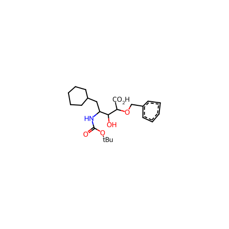 CC(C)(C)OC(=O)NC(CC1CCCCC1)C(O)C(OCc1ccccc1)C(=O)O